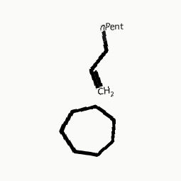 C1CCCCCC1.C=CCCCCCC